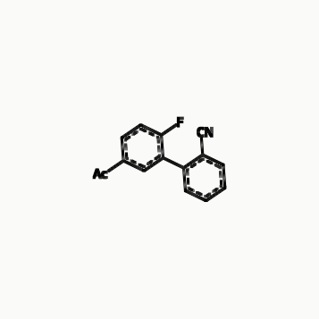 CC(=O)c1ccc(F)c(-c2ccccc2C#N)c1